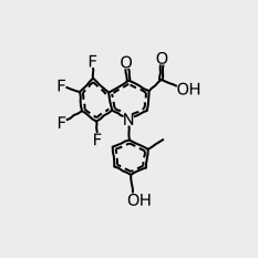 Cc1cc(O)ccc1-n1cc(C(=O)O)c(=O)c2c(F)c(F)c(F)c(F)c21